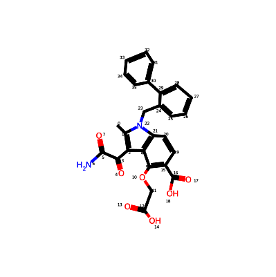 Cc1c(C(=O)C(N)=O)c2c(OCC(=O)O)c(C(=O)O)ccc2n1Cc1ccccc1-c1ccccc1